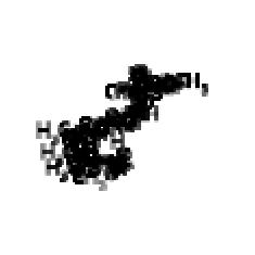 CCC[C@H](NC(=O)[C@H](C)NC(=O)[C@H](CC(C)C)NC(=O)CCCN1C(=O)C=CC1=O)C(=O)Nc1ccc(C(=O)Nc2ccc3[nH]c(C(=O)N4C[C@@H](CCl)c5c4cc(OC(=O)N4CCN(C)CC4)c4ccccc54)cc3c2)cc1